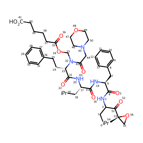 CC(C)CC(NC(=O)[C@H](Cc1ccccc1)NC(=O)[C@H](CC(C)C)NC(=O)[C@H](CCc1ccccc1)N(COC(=O)CCCCC(=O)O)C(=O)CN1CCOCC1)C(=O)[C@@]1(C)CO1